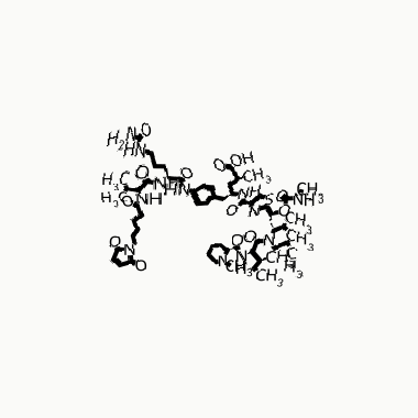 CCCN(C(=O)[C@@H](NC(=O)[C@H]1CCCCN1C)[C@@H](C)CC)[C@H](C[C@@H](OC(=O)NC)c1nc(C(=O)N[C@@H](Cc2ccc(NC(=O)[C@H](CCCNC(N)=O)NC(=O)[C@@H](NC(=O)CCCCCN3C(=O)C=CC3=O)C(C)C)cc2)C[C@H](C)C(=O)O)cs1)C(C)C